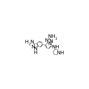 Nc1nc2c(-c3ccc4c(N)n[nH]c4c3)ccc(NC3CCCNC3)n2n1